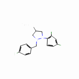 CCOC(=O)C1CN(Cc2ccc(F)cc2)N(c2ccc(Cl)cc2Cl)C1